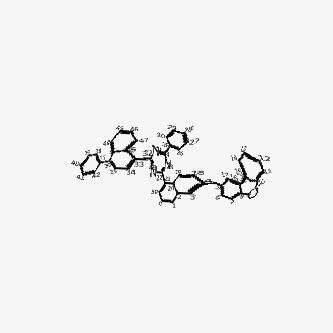 C1=CC2C=C(c3ccc4oc5ccccc5c4c3)C=CC2C(c2nc(-c3ccccc3)nc(-c3ccc(-c4ccccc4)c4ccccc34)n2)=C1